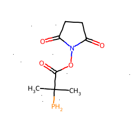 CC(C)(P)C(=O)ON1C(=O)CCC1=O